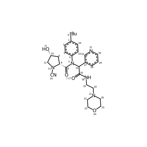 CC(C)(C)c1ccc(N(C(=O)[C@H]2C[C@@H](O)CN2C#N)C(C(=O)NCCN2CCOCC2)c2cccnc2)cc1